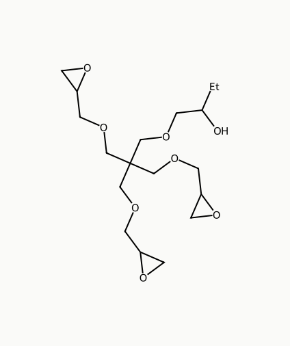 CCC(O)COCC(COCC1CO1)(COCC1CO1)COCC1CO1